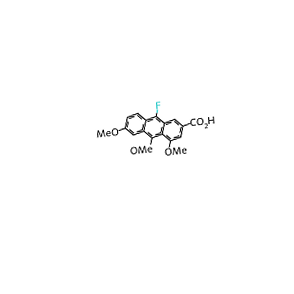 COc1ccc2c(F)c3cc(C(=O)O)cc(OC)c3c(OC)c2c1